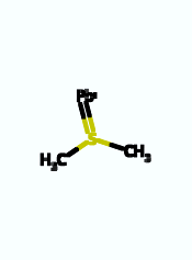 C[S](C)=[Pb]